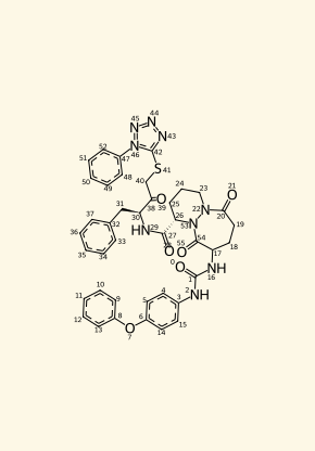 O=C(Nc1ccc(Oc2ccccc2)cc1)NC1CCC(=O)N2CCC[C@@H](C(=O)N[C@@H](Cc3ccccc3)C(=O)CSc3nnnn3-c3ccccc3)N2C1=O